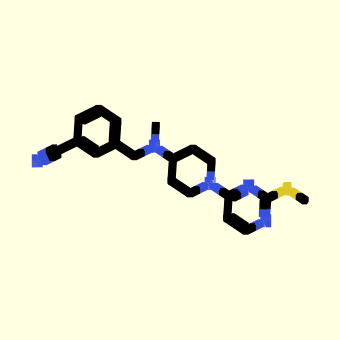 CSc1nccc(N2CCC(N(C)Cc3cccc(C#N)c3)CC2)n1